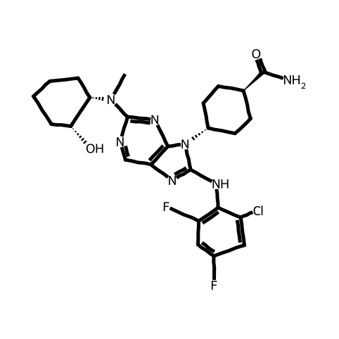 CN(c1ncc2nc(Nc3c(F)cc(F)cc3Cl)n([C@H]3CC[C@H](C(N)=O)CC3)c2n1)[C@H]1CCCC[C@H]1O